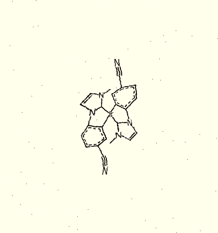 CN1C=CN2c3ccc(C#N)c[c]3[Ir]3([c]4cc(C#N)ccc4N4C=CN(C)[CH]43)[CH]12